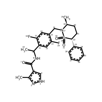 Cc1n[nH]cc1C(=O)NC(C)c1cc(F)c(CN2[C@@H](C)CC[C@H](c3ccccc3)S2(=O)=O)cc1F